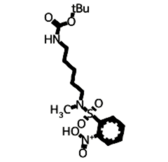 CN(CCCCCNC(=O)OC(C)(C)C)S(=O)(=O)c1ccccc1[N+](=O)O